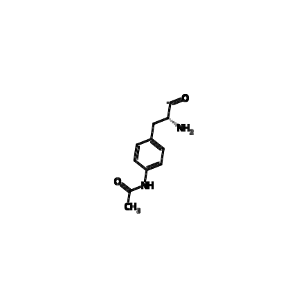 CC(=O)Nc1ccc(C[C@@H](N)[C]=O)cc1